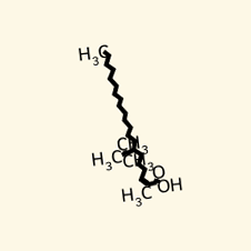 CCCCCCCCCCCCCCC(CCCC=C(C)C(=O)O)C(C)(C)C